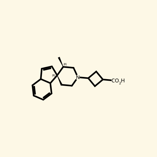 C[C@H]1CN(C2CC(C(=O)O)C2)CC[C@@]12C=CC1C=CC=CC12